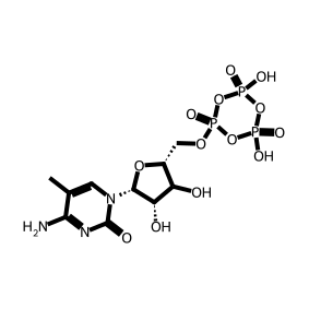 Cc1cn([C@@H]2O[C@H](COP3(=O)OP(=O)(O)OP(=O)(O)O3)C(O)[C@@H]2O)c(=O)nc1N